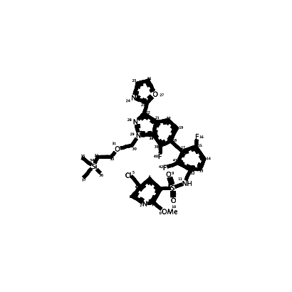 COc1ncc(Cl)cc1S(=O)(=O)Nc1ccc(F)c(-c2ccc3c(-c4ncco4)nn(COCC[Si](C)(C)C)c3c2F)c1F